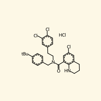 CC(C)(C)c1ccc(CN(CCc2ccc(Cl)c(Cl)c2)C(=O)c2cc(Cl)cc3c2NCCC3)cc1.Cl